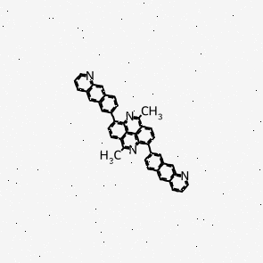 Cc1nc2c(-c3ccc4cc5cccnc5cc4c3)ccc3c(C)nc4c(-c5ccc6cc7ncccc7cc6c5)ccc1c4c32